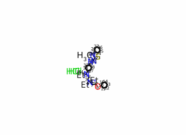 CCN(CC[N+](CC)(CC)CCOc1ccccc1)c1ccc(N=NC2Sc3ccccc3N2C)cc1.Cl.Cl